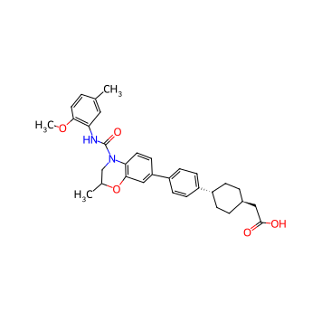 COc1ccc(C)cc1NC(=O)N1CC(C)Oc2cc(-c3ccc([C@H]4CC[C@H](CC(=O)O)CC4)cc3)ccc21